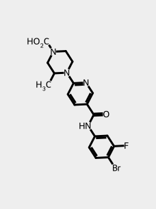 CC1CN(C(=O)O)CCN1c1ccc(C(=O)Nc2ccc(Br)c(F)c2)cn1